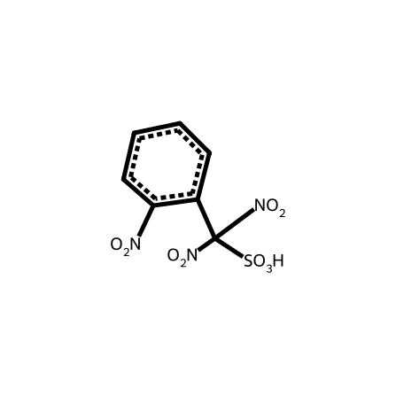 O=[N+]([O-])c1ccccc1C([N+](=O)[O-])([N+](=O)[O-])S(=O)(=O)O